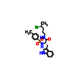 Cc1ccc(S(=O)(=O)N[C@@H](Cc2c[nH]c3ccccc23)C(=O)NCCCC(C)Br)cc1